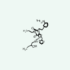 CCCn1c(=O)c2c(nc(Cc3ncccn3)n2CCNCC(O)CC)n(CCc2cccc(N)c2)c1=O